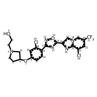 OCCN1CCC(Oc2ccc(-c3noc(-c4cn5cc(C(F)(F)F)cc(Cl)c5n4)n3)c(Cl)c2)C1